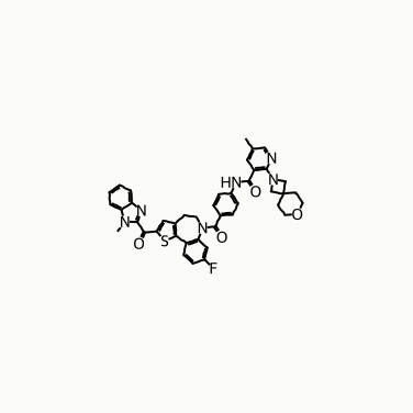 Cc1cnc(N2CC3(CCOCC3)C2)c(C(=O)Nc2ccc(C(=O)N3CCc4cc(C(=O)c5nc6ccccc6n5C)sc4-c4ccc(F)cc43)cc2)c1